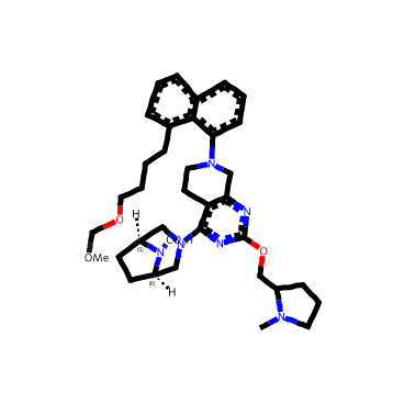 COCOCCCCc1cccc2cccc(N3CCc4c(nc(OCC5CCCN5C)nc4N4C[C@H]5CC[C@@H](C4)N5C(=O)O)C3)c12